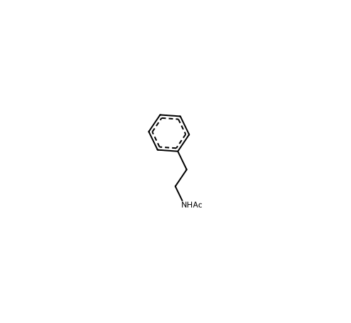 [CH2]C(=O)NCCc1ccccc1